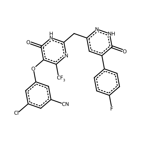 N#Cc1cc(Cl)cc(Oc2c(C(F)(F)F)nc(Cc3cc(-c4ccc(F)cc4)c(=O)[nH]n3)[nH]c2=O)c1